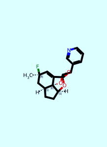 C[C@]1(F)C=C2C(=O)O[C@H]3CC[C@@H](C1)[C@@]23OCCc1cccnc1